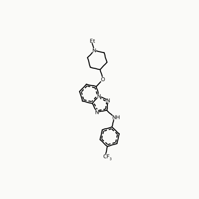 CCN1CCC(Oc2cccc3nc(Nc4ccc(C(F)(F)F)cc4)nn23)CC1